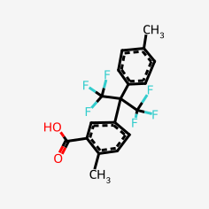 Cc1ccc(C(c2ccc(C)c(C(=O)O)c2)(C(F)(F)F)C(F)(F)F)cc1